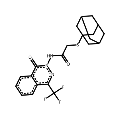 O=C(CSC12CC3CC(CC(C3)C1)C2)Nn1nc(C(F)(F)F)c2ccccc2c1=O